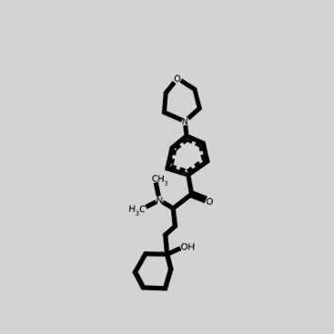 CN(C)C(CCC1(O)CCCCC1)C(=O)c1ccc(N2CCOCC2)cc1